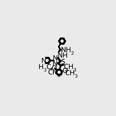 COc1cccc(OC(C)C)c1-c1c(C)sc2c(NC[C@@H](N)Cc3ccccc3)nc(-c3ccncc3)nc12